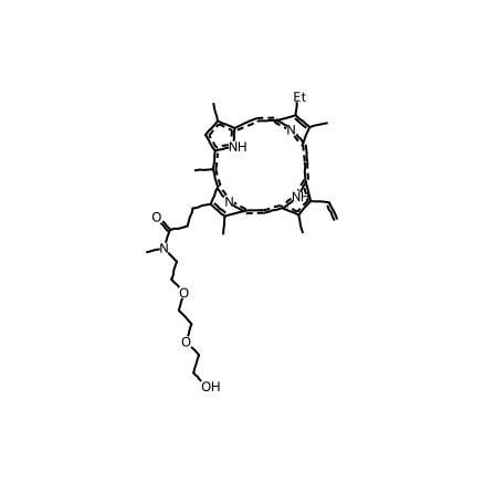 C=Cc1c(C)c2cc3nc(c(C)c4cc(C)c(cc5nc(cc1[nH]2)C(C)=C5CC)[nH]4)C(CCC(=O)N(C)CCOCCOCCO)=C3C